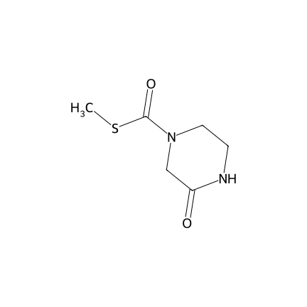 CSC(=O)N1CCNC(=O)C1